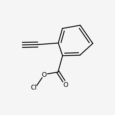 C#Cc1ccccc1C(=O)OCl